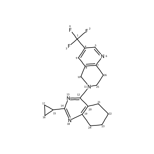 FC(F)(F)c1cnc2c(c1)CN(c1nc(C3CC3)nc3c1CCCC3)CC2